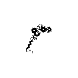 CCCCCCCOC(=O)C[C@H]1CCCN(C(=O)c2ccc(N3CCCC3)cc2Cl)c2ccccc21